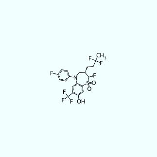 CC(F)(F)CC[C@@H]1CN(c2ccc(F)cc2)c2cc(C(F)(F)F)c(O)cc2S(=O)(=O)[C@@H]1F